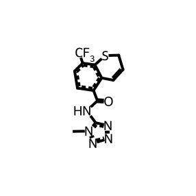 Cn1nnnc1NC(=O)c1ccc(C(F)(F)F)c2c1C=CCS2